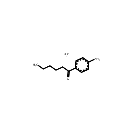 CCCCCC(=O)c1ccc(N)cc1.O